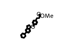 COC(=O)CCc1ccc(OC2C=Cc3cc(C4=CC=CCC4)ccc32)cc1